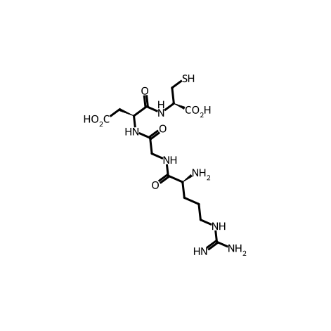 N=C(N)NCCC[C@H](N)C(=O)NCC(=O)N[C@@H](CC(=O)O)C(=O)N[C@@H](CS)C(=O)O